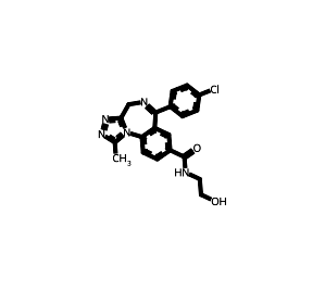 Cc1nnc2n1-c1ccc(C(=O)NCCO)cc1C(c1ccc(Cl)cc1)=NC2